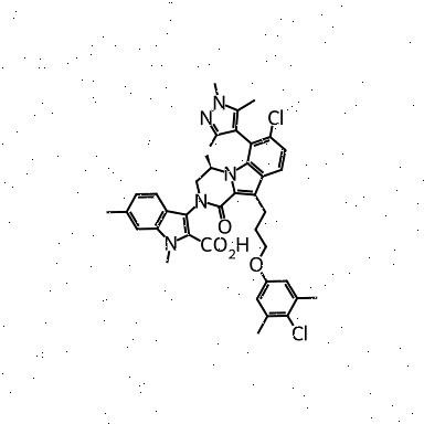 Cc1ccc2c(N3C[C@@H](C)n4c(c(CCCOc5cc(C)c(Cl)c(C)c5)c5ccc(Cl)c(-c6c(C)nn(C)c6C)c54)C3=O)c(C(=O)O)n(C)c2c1